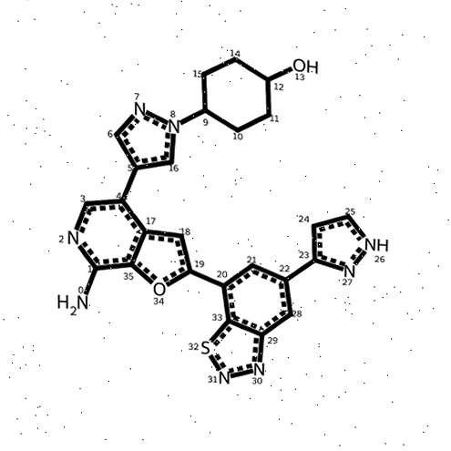 Nc1ncc(-c2cnn(C3CCC(O)CC3)c2)c2cc(-c3cc(-c4cc[nH]n4)cc4nnsc34)oc12